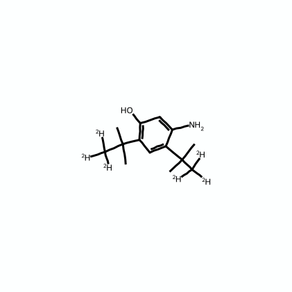 [2H]C([2H])([2H])C(C)(C)c1cc(C(C)(C)C([2H])([2H])[2H])c(O)cc1N